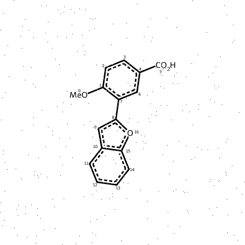 COc1ccc(C(=O)O)cc1-c1cc2ccccc2o1